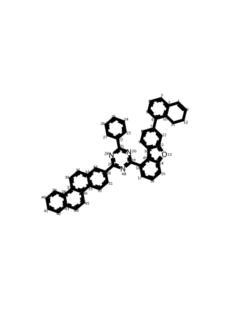 C1=Cc2cccc(-c3ccc4c(c3)oc3cccc(-c5nc(-c6ccccc6)nc(-c6ccc7c(ccc8c9ccccc9ccc78)c6)n5)c34)c2CC1